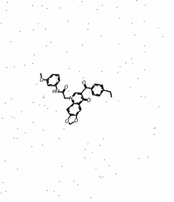 CCc1ccc(C(=O)c2cn(CC(=O)Nc3cccc(OC)c3)c3cc4c(cc3c2=O)OCO4)cc1